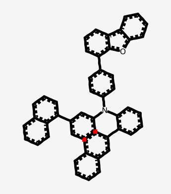 c1cc(-c2cccc3ccccc23)cc(N(c2ccc(-c3cccc4c3oc3ccccc34)cc2)c2ccccc2-c2ccc3ccccc3c2)c1